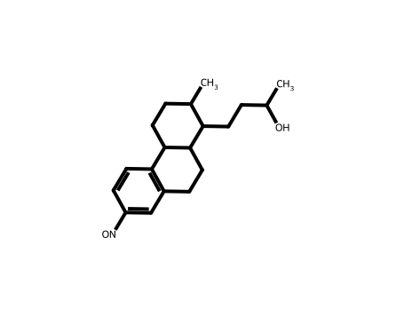 CC(O)CCC1C(C)CCC2c3ccc(N=O)cc3CCC21